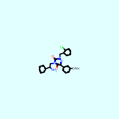 COc1cccc(-c2nn(Cc3ccccc3Cl)c(=O)n(CC(N)c3ccccc3)c2=O)c1